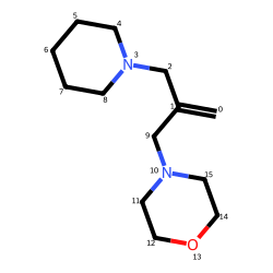 C=C(CN1CCCCC1)CN1CCOCC1